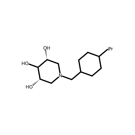 CC(C)C1CCC(CN2C[C@@H](O)C(O)[C@@H](O)C2)CC1